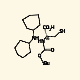 C1CCC(NC2CCCCC2)CC1.CC(C)(C)OC(=O)N[C@@H](CS)C(=O)O